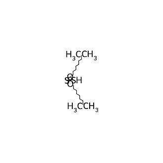 CC(C)CCCCCCCOP(=S)(S)OCCCCCCCC(C)C